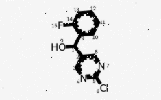 OC(c1cnc(Cl)nc1)c1ccccc1F